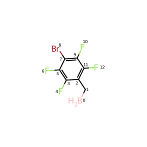 BCc1c(F)c(F)c(Br)c(F)c1F